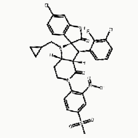 CS(=O)(=O)c1ccc(N2CC[C@H]3[C@@H](C2=O)[C@H](c2cccc(Cl)c2F)[C@]2(C(=O)Nc4cc(Cl)ccc42)N3CC2CC2)c([N+](=O)[O-])c1